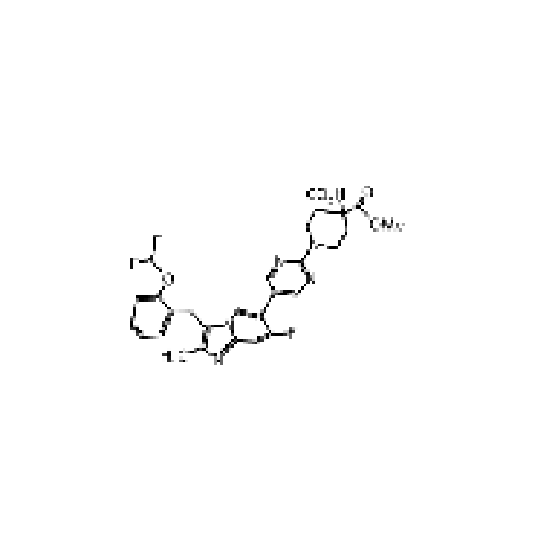 COC(=O)C1(C(=O)O)CCN(c2ncc(-c3cn4c(Cc5ccccc5OC(F)F)c(C)nc4cc3F)cn2)CC1